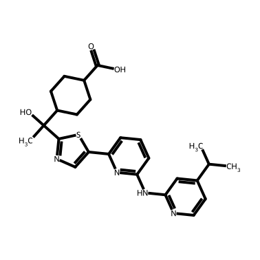 CC(C)c1ccnc(Nc2cccc(-c3cnc(C(C)(O)C4CCC(C(=O)O)CC4)s3)n2)c1